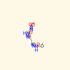 Cc1cccc(CC(=O)Nc2ccc(CCCCc3nnc(NC(=O)Cc4cn(C(=O)OC(C)(C)C)cn4)s3)nn2)c1